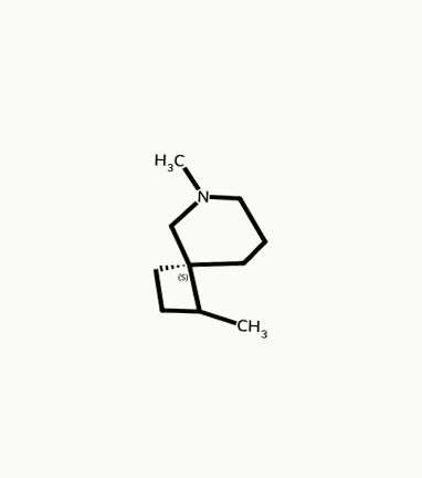 CC1CC[C@]12CCCN(C)C2